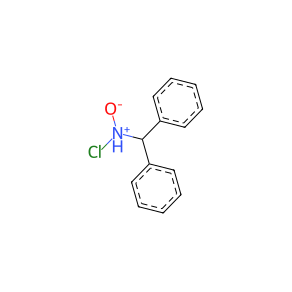 [O-][NH+](Cl)C(c1ccccc1)c1ccccc1